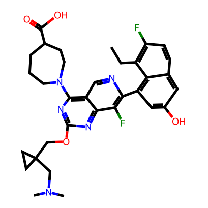 CCc1c(F)ccc2cc(O)cc(-c3ncc4c(N5CCCC(C(=O)O)CC5)nc(OCC5(CN(C)C)CC5)nc4c3F)c12